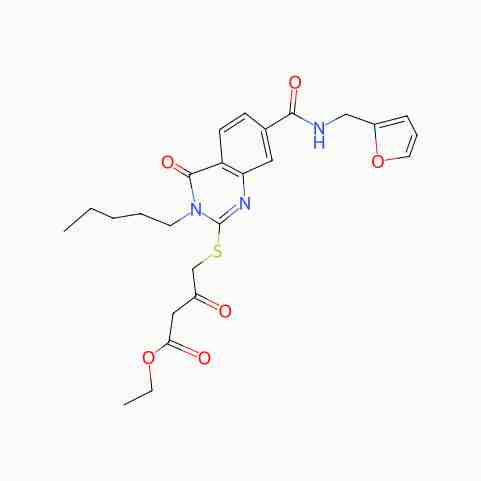 CCCCCn1c(SCC(=O)CC(=O)OCC)nc2cc(C(=O)NCc3ccco3)ccc2c1=O